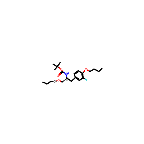 CCCCOC[C@H](Cc1ccc(OCCCC)c(F)c1)NC(=O)OC(C)(C)C